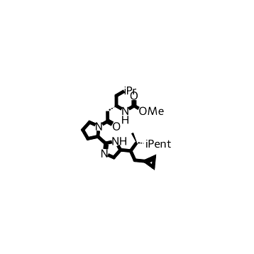 CCC[C@@H](C)[C@H](C)C(CC1=CC1)C1CN=C(C2CCCN2C(=O)C[C@H](CC(C)C)NC(=O)OC)N1